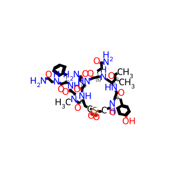 CC[C@H](C)[C@@H]1NC(=O)[C@H](Cc2ccc(O)cc2)NC(=O)CCS(=O)(=O)CC[C@@H](C(=O)N(C)CC(=O)N[C@@H](Cc2ccccc2)C(=O)NCC(N)=O)NC(=O)[C@H](CC(N)=O)NC(=O)[C@H](CCC(N)=O)NC1=O